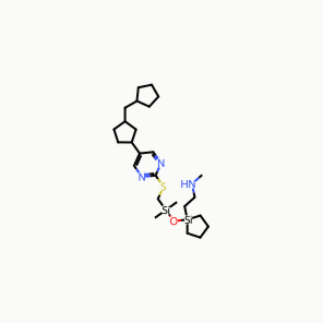 CNCC[Si]1(O[Si](C)(C)CSc2ncc(C3CCC(CC4CCCC4)C3)cn2)CCCC1